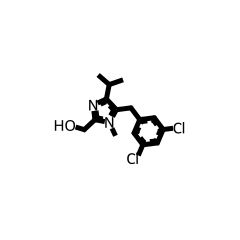 CC(C)c1nc(CO)n(C)c1Cc1cc(Cl)cc(Cl)c1